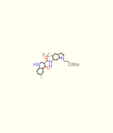 COCCn1ccc2cc(C(F)(F)F)c(NC(=O)c3c[nH]c4ccc(F)cc4c3=O)cc21